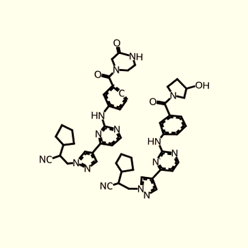 N#CC(Cn1cc(-c2ccnc(Nc3cccc(C(=O)N4CCC(O)C4)c3)n2)cn1)C1CCCC1.N#CC(Cn1cc(-c2ccnc(Nc3cccc(C(=O)N4CCNC(=O)C4)c3)n2)cn1)C1CCCC1